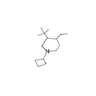 CCC1CCN(C2CCC2)CC1C(C)(C)C